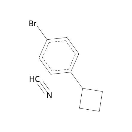 Brc1ccc(C2CCC2)cc1.C#N